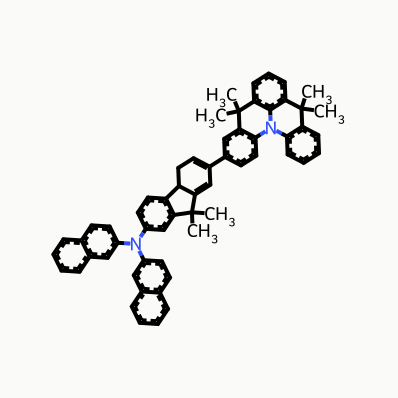 CC1(C)C2=CC(c3ccc4c(c3)C(C)(C)c3cccc5c3N4c3ccccc3C5(C)C)=CCC2c2ccc(N(c3ccc4ccccc4c3)c3ccc4ccccc4c3)cc21